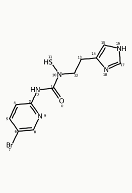 O=C(Nc1ccc(Br)cn1)N(S)CCc1c[nH]cn1